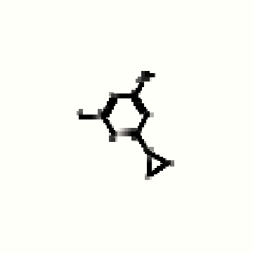 Cc1cc(Br)cc(C2CC2)c1